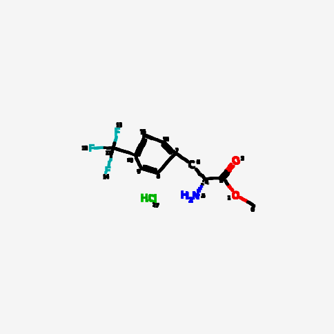 COC(=O)[C@H](N)Cc1ccc(C(F)(F)F)cc1.Cl